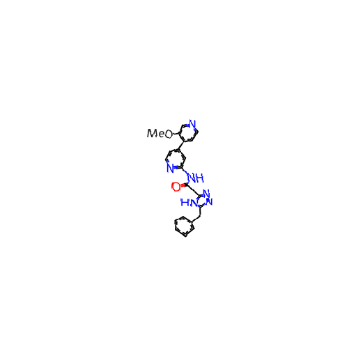 COc1cnccc1-c1ccnc(NC(=O)c2nnc(Cc3ccccc3)[nH]2)c1